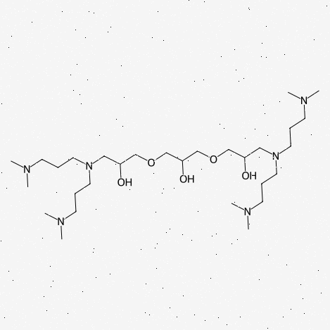 CN(C)CCCN(CCCN(C)C)CC(O)COCC(O)COCC(O)CN(CCCN(C)C)CCCN(C)C